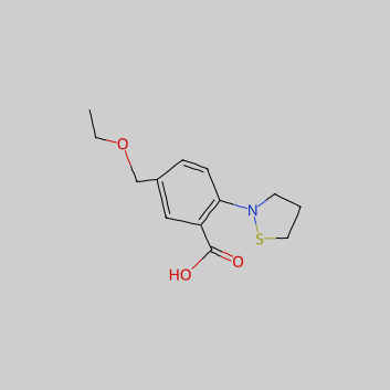 CCOCc1ccc(N2CCCS2)c(C(=O)O)c1